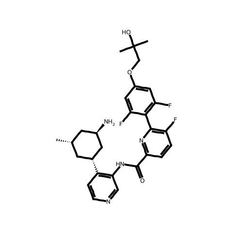 C[C@@H]1C[C@@H](N)C[C@H](c2ccncc2NC(=O)c2ccc(F)c(-c3c(F)cc(OCC(C)(C)O)cc3F)n2)C1